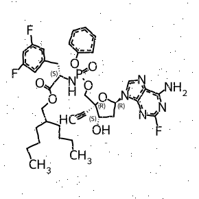 C#C[C@]1(COP(=O)(N[C@@H](Cc2cc(F)cc(F)c2)C(=O)OCC(CCCC)CCCC)Oc2ccccc2)O[C@@H](n2cnc3c(N)nc(F)nc32)C[C@@H]1O